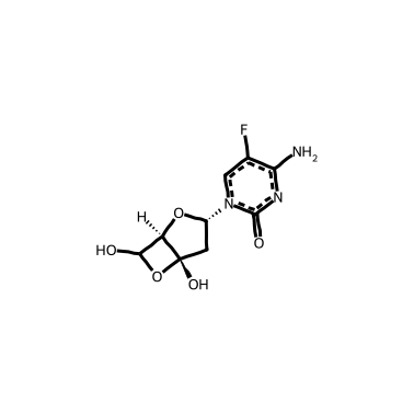 Nc1nc(=O)n([C@@H]2C[C@]3(O)OC(O)[C@H]3O2)cc1F